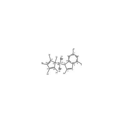 CC1=Cc2c(C)cc(C)cc2[CH]1[Zr]([Br])([Br])[C]1(C)C(C)=C(C)C(C)=C1C